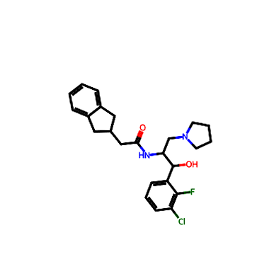 O=C(CC1Cc2ccccc2C1)NC(CN1CCCC1)C(O)c1cccc(Cl)c1F